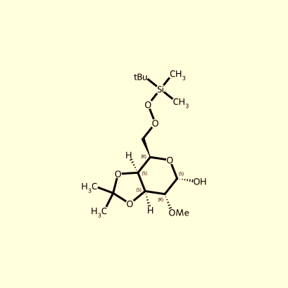 CO[C@@H]1[C@H]2OC(C)(C)O[C@H]2[C@@H](COO[Si](C)(C)C(C)(C)C)O[C@@H]1O